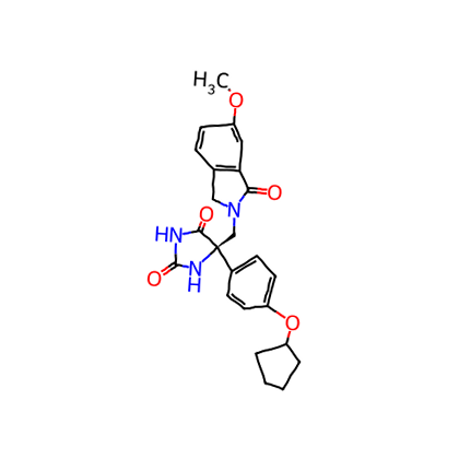 COc1ccc2c(c1)C(=O)N(C[C@@]1(c3ccc(OC4CCCC4)cc3)NC(=O)NC1=O)C2